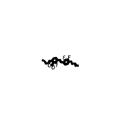 C/C=C/CCc1ccc(CCc2ccc3cc(CCC)oc(=O)c3c2F)c(F)c1F